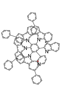 c1ccc(-c2ccc3c(c2)c2ccccc2n3-c2c(-c3cccnc3)c(-c3nc4ccccc4s3)c(-n3c4ccccc4c4cc(-c5ccccc5)ccc43)c(-n3c4ccccc4c4cc(-c5ccccc5)ccc43)c2-n2c3ccccc3c3cc(-c4ccccc4)ccc32)cc1